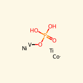 O=P(O)(O)[O][V].[Co].[Ni].[Ti]